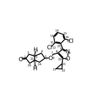 O=C1C[C@@H]2CC(OCc3c(-c4c(Cl)cccc4Cl)noc3C3CC3)C[C@@H]2C1